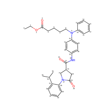 CCOC(=O)CCCCN(c1ccccc1)c1ccc(NC(=O)C2CC(=O)N(c3ccccc3C(C)C)C2)cc1